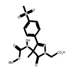 CC(C)(C)OC(=O)N(O)C1(C)C(=O)N(CC(=O)O)N=C1c1ccc(S(C)(=O)=O)cc1